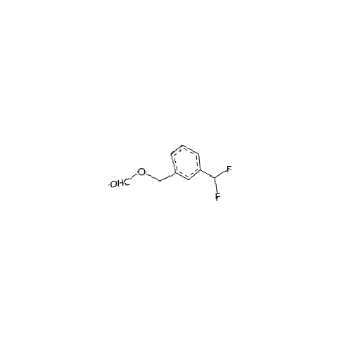 O=[C]OCc1cccc(C(F)F)c1